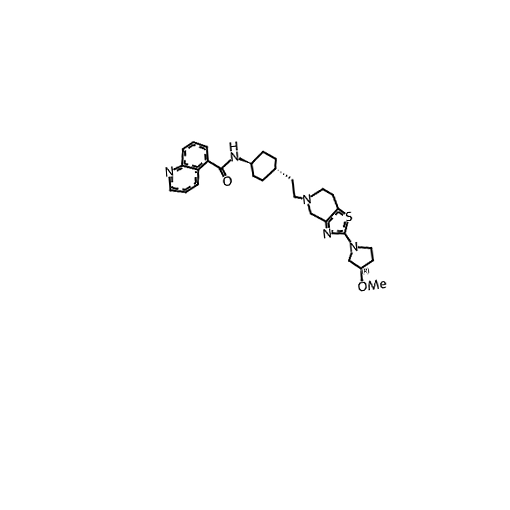 CO[C@@H]1CCN(c2nc3c(s2)CCN(CC[C@H]2CC[C@H](NC(=O)c4cccc5ncccc45)CC2)C3)C1